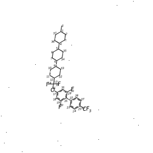 CC1CCC(C2CCC(C3CCC(C(F)(F)Oc4cc(F)c(-c5ccc(C(F)(F)F)cc5)c(F)c4)CC3)CC2)CC1